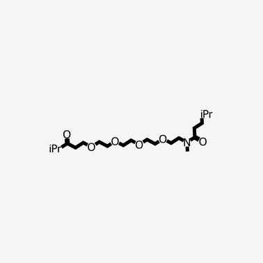 CC(C)CCC(=O)N(C)CCOCCOCCOCCOCCC(=O)C(C)C